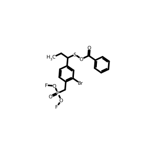 CCC(SOC(=O)c1ccccc1)c1ccc(CP(=O)(OF)OF)c(Br)c1